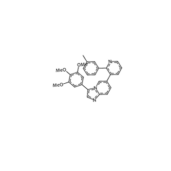 COc1cc(-c2cnc3ccc(-c4cccnc4-c4cccc(C)c4)cn23)cc(OC)c1OC